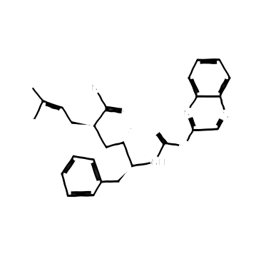 CC(Cl)=CC[C@H](C[C@H](O)[C@H](Cc1ccccc1)NC(=O)Oc1cnc2ccccc2n1)C(N)=O